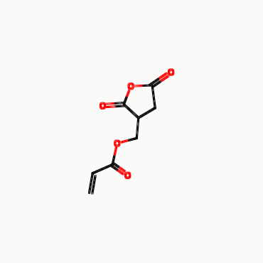 C=CC(=O)OCC1CC(=O)OC1=O